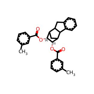 Cc1cccc(C(=O)O[C@@H]2C3CC(C4c5ccccc5CC43)[C@@H]2OC(=O)c2cccc(C)c2)c1